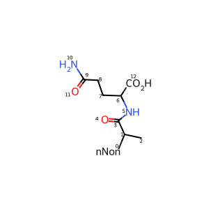 CCCCCCCCCC(C)C(=O)NC(CCC(N)=O)C(=O)O